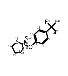 FC(F)(F)c1ccc(OP2(=S)SCCS2)cc1